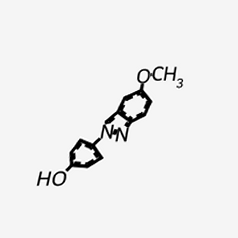 COc1ccc2nn(-c3ccc(O)cc3)cc2c1